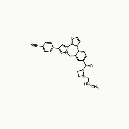 CNC[C@@H]1CCN1C(=O)c1ccc2c(c1)Cn1cc(-c3ccc(C#N)cc3)cc1-c1nccn1-2